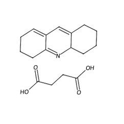 C1=C2C=C3CCCCC3N=C2CCC1.O=C(O)CCC(=O)O